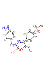 CCC1OC(=O)N(Cc2ccc(N)cc2)N=C1c1ccc(S(C)(=O)=O)cc1